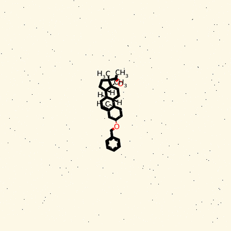 CC(=O)[C@@]1(C)CC[C@H]2[C@@H]3CC=C4C[C@@H](OCc5ccccc5)CC[C@]4(C)[C@H]3CC[C@@]21C